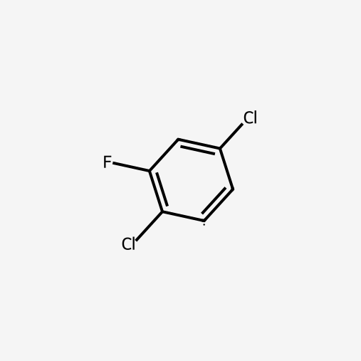 Fc1cc(Cl)c[c]c1Cl